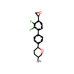 CCCC1CCC(c2ccc(-c3ccc(C4CO4)c(F)c3F)cc2)OC1